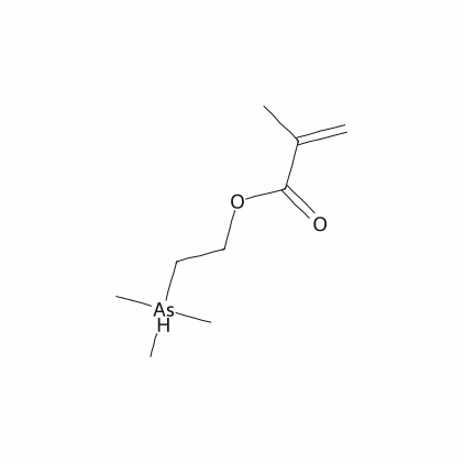 C=C(C)C(=O)OCC[AsH](C)(C)C